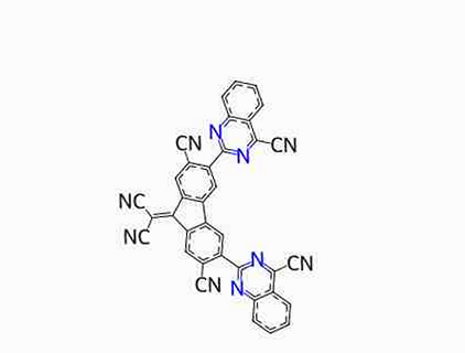 N#CC(C#N)=C1c2cc(C#N)c(-c3nc(C#N)c4ccccc4n3)cc2-c2cc(-c3nc(C#N)c4ccccc4n3)c(C#N)cc21